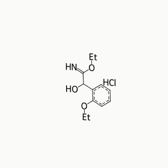 CCOC(=N)C(O)c1ccccc1OCC.Cl